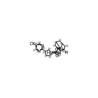 NC(=O)[C@]12CC3CC(C1)[C@@H](OC(=O)N1CCC(c4ncc(Cl)cn4)C1)[C@@H](C3)C2